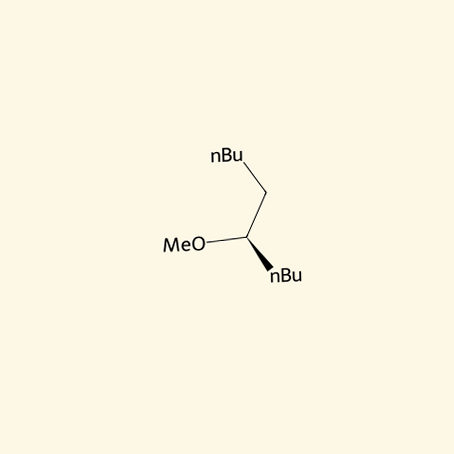 CCCCC[C@@H](CCCC)OC